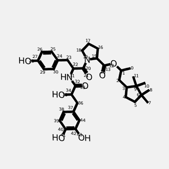 CC(CC1CCC(C)(C)C1(C)C)OC(=O)C1CCCN1C(=O)C(Cc1ccc(O)cc1)NC(=O)C(O)Cc1ccc(O)c(O)c1